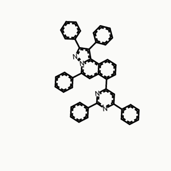 c1ccc(-c2cc(-c3cccc4c3cc(-c3ccccc3)n3nc(-c5ccccc5)c(-c5ccccc5)c43)nc(-c3ccccc3)n2)cc1